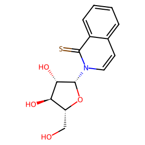 OC[C@H]1O[C@@H](n2ccc3ccccc3c2=S)[C@@H](O)[C@@H]1O